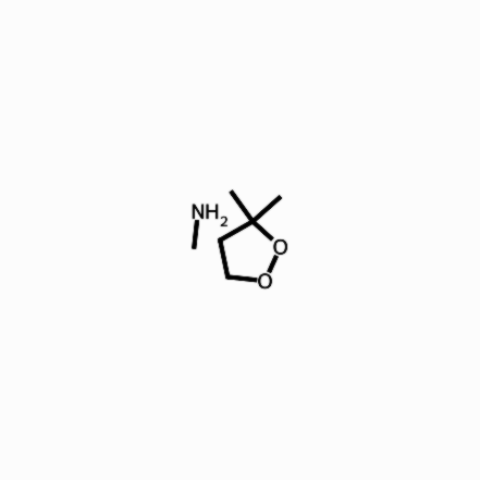 CC1(C)CCOO1.CN